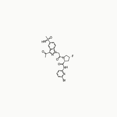 CC(=O)c1nn(CC(=O)N2C[C@H](F)C[C@H]2C(=O)Nc2cccc(Br)n2)c2ccc(S(C)(=N)=O)cc12